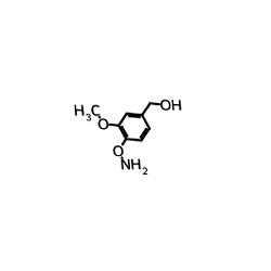 COc1cc(CO)ccc1ON